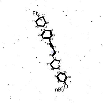 CCCCOc1ccc([C@H]2CC[C@H](/C=C/C#Cc3ccc([C@H]4CC[C@H](CC)CC4)cc3)CC2)cc1